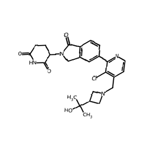 CC(C)(O)C1CN(Cc2ccnc(-c3ccc4c(c3)CN(C3CCC(=O)NC3=O)C4=O)c2Cl)C1